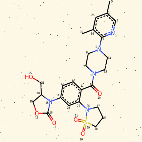 Cc1cnc(N2CCN(C(=O)c3ccc(N4C(=O)OCC4CO)cc3N3CCCS3(=O)=O)CC2)c(C)c1